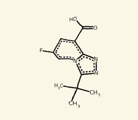 CC(C)(C)c1nnc2c(C(=O)O)cc(F)cn12